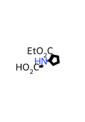 CCOC(=O)C1=C(NCC(=O)O)CCC1